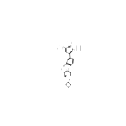 O=c1[nH]cc(-c2ccc3c(c2)COC2(CCN(C4CCC4)CC2)O3)cc1CO